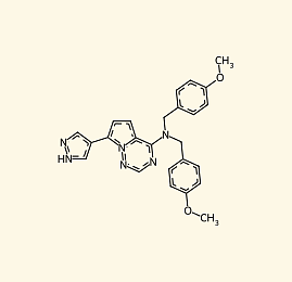 COc1ccc(CN(Cc2ccc(OC)cc2)c2ncnn3c(-c4cn[nH]c4)ccc23)cc1